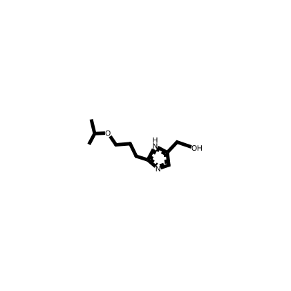 CC(C)OCCCc1ncc(CO)[nH]1